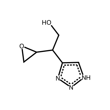 OCC(c1c[nH]nn1)C1CO1